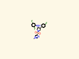 Cn1cnc(S(=O)(=O)N2C[C@H](Nc3cc(F)ccc3F)[C@@H](c3ccc(F)cc3)C2)c1